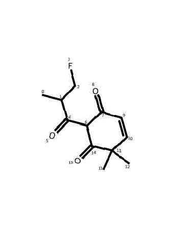 CC(CF)C(=O)C1C(=O)C=CC(C)(C)C1=O